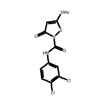 CSc1cc(=O)n(C(=O)Nc2ccc(Cl)c(Cl)c2)s1